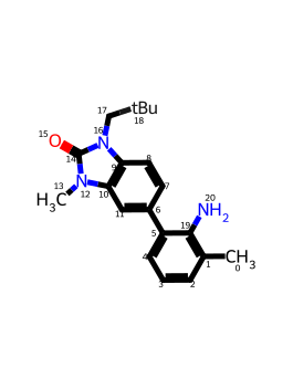 Cc1cccc(-c2ccc3c(c2)n(C)c(=O)n3CC(C)(C)C)c1N